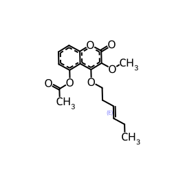 CC/C=C/CCOc1c(OC)c(=O)oc2cccc(OC(C)=O)c12